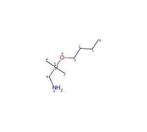 CCCCO[Si](C)(C)CN